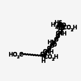 O=C(O)CCCCCCCCCCCCCCCCC(=O)N[C@@H](CCC(=O)NCCOCCOCC(=O)NCCOCCOCC(=O)NCCCC[C@H](NC(=O)C(CS)NP)C(=O)O)C(=O)O